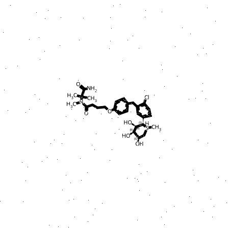 CN(C(=O)CCCOc1ccc(Cc2cc([C@H]3[C@H](O)[C@H](O)[C@H](O)C[SH]3C)ccc2Cl)cc1)C(C)(C)C(N)=O